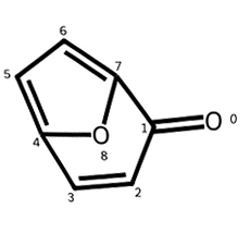 O=c1ccc2ccc1o2